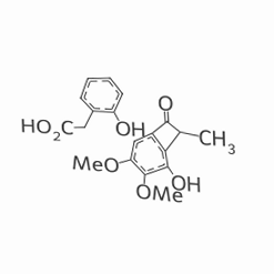 COc1cc2c(c(O)c1OC)C(C)C2=O.O=C(O)Cc1ccccc1O